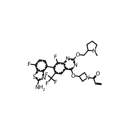 C=CC(=O)N1CC(Oc2nc(OCC3CCCN3C)nc3c(F)c(-c4ccc(F)c5sc(N)nc45)c(C(F)(F)F)cc23)C1